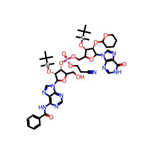 CC(C)(C)[Si](C)(C)O[C@@H]1C(COP(=O)(OCCC#N)O[C@@H]2C(CO)OC(n3cnc4c(NC(=O)c5ccccc5)ncnc43)[C@@H]2O[Si](C)(C)C(C)(C)C)OC(n2cnc3c(=O)[nH]cnc32)[C@@H]1OC1CCCCO1